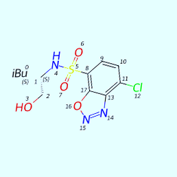 CC[C@H](C)[C@@H](CO)NS(=O)(=O)c1ccc(Cl)c2nnoc12